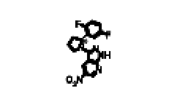 O=[N+]([O-])c1cnc2[nH]nc(N3CCC[C@@H]3c3cc(F)ccc3F)c2c1